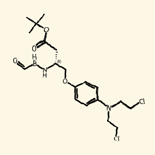 CC(C)(C)OC(=O)C[C@H](COc1ccc(N(CCCl)CCCl)cc1)NBC=O